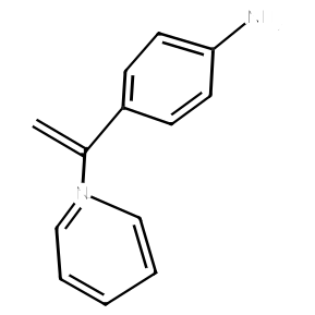 C=C(c1ccc(N)cc1)[n+]1ccccc1